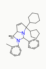 Cc1ccccc1N1C(c2ccccc2)N2C(C=CC2(C2CCCCC2)C2CCCC2)[C@@H]1C